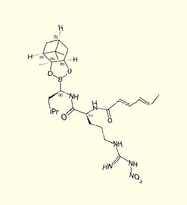 CC=CC=CC(=O)N[C@@H](CCCNC(=N)N[N+](=O)[O-])C(=O)N[C@@H](CC(C)C)B1O[C@@H]2C[C@@H]3C[C@@H](C3(C)C)[C@]2(C)O1